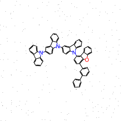 c1ccc(-c2cccc(-c3ccc(-n4c5ccccc5c5cc(-n6c7ccccc7c7cc(-n8c9ccccc9c9ccccc98)ccc76)ccc54)c4c3oc3ccccc34)c2)cc1